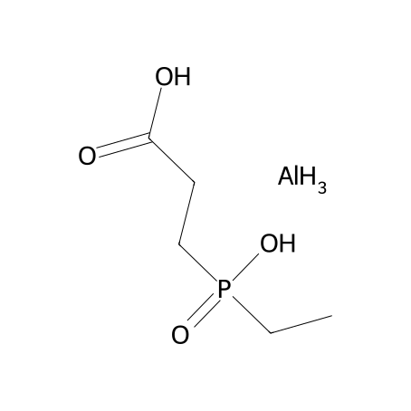 CCP(=O)(O)CCC(=O)O.[AlH3]